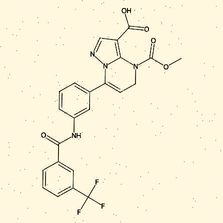 COC(=O)N1CC=C(c2cccc(NC(=O)c3cccc(C(F)(F)F)c3)c2)n2ncc(C(=O)O)c21